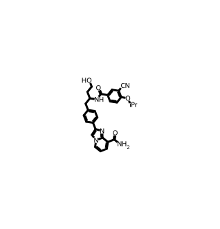 CC(C)Oc1ccc(C(=O)NC(CCO)Cc2ccc(-c3cn4cccc(C(N)=O)c4n3)cc2)cc1C#N